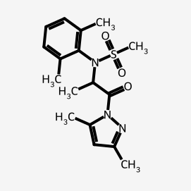 Cc1cc(C)n(C(=O)C(C)N(c2c(C)cccc2C)S(C)(=O)=O)n1